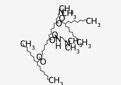 CCCCCCCCC(CCCCCCCC)C(=O)OCCCCCCC(CCCCCC(CCCN(C)C)OC(=O)C(CCCCCCCC)CCCCCCCC)OC(=O)NCCCN(C)C